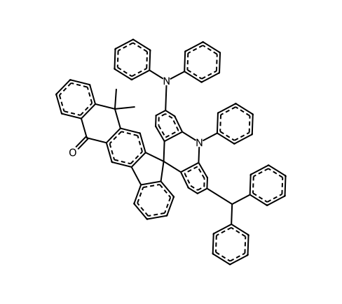 CC1(C)c2ccccc2C(=O)c2cc3c(cc21)C1(c2ccccc2-3)c2ccc(C(c3ccccc3)c3ccccc3)cc2N(c2ccccc2)c2cc(N(c3ccccc3)c3ccccc3)ccc21